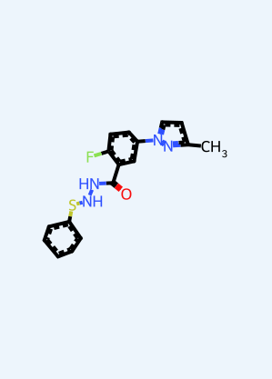 Cc1ccn(-c2ccc(F)c(C(=O)NNSc3ccccc3)c2)n1